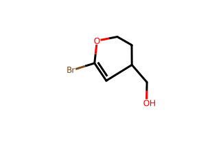 OCC1C=C(Br)OCC1